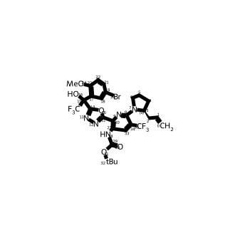 C=CC[C@@H]1CCCN1c1nc(-c2nnc(C(O)(c3cc(Br)ccc3OC)C(F)(F)F)o2)c(NC(=O)OC(C)(C)C)cc1C(F)(F)F